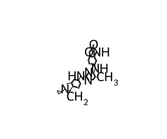 C=C1c2ccc(Nc3ncc(C)c(Nc4ccc5oc(=O)[nH]c5c4)n3)cc2CN1C1CC1